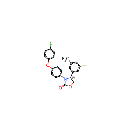 O=C1OC[C@H](c2cc(F)cc(C(F)(F)F)c2)N1c1ccc(Oc2ccc(Cl)cc2)cc1